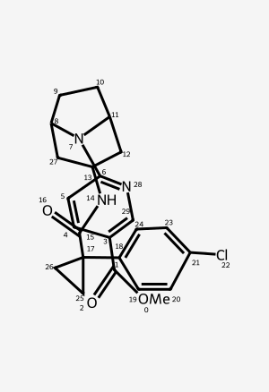 COC(=O)c1ccc(N2C3CCC2CC(NC(=O)C2(c4ccc(Cl)cc4)CC2)C3)nc1